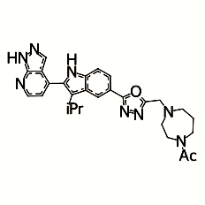 CC(=O)N1CCCN(Cc2nnc(-c3ccc4[nH]c(-c5ccnc6[nH]ncc56)c(C(C)C)c4c3)o2)CC1